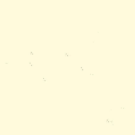 CCn1ncc2c(NC3CCC3)c(C3=NOC4(CCC(C(N)=O)CC4)C3)cnc21.O=C(O)O